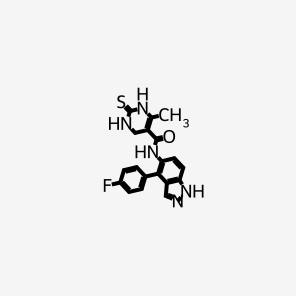 CC1=C(C(=O)Nc2ccc3[nH]ncc3c2-c2ccc(F)cc2)CNC(=S)N1